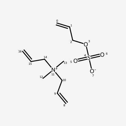 C=CCOS(=O)(=O)[O-].C=CC[N+](C)(C)CC=C